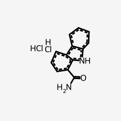 Cl.Cl.NC(=O)c1cccc2c1[nH]c1ccccc12